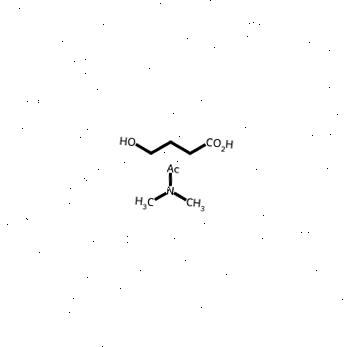 CC(=O)N(C)C.O=C(O)CCCO